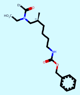 CCC(=O)N(CC(=O)O)C[C@@H](C)CCCCNC(=O)OCc1ccccc1